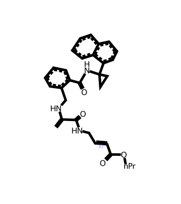 C=C(NCc1ccccc1C(=O)NC1(c2cccc3ccccc23)CC1)C(=O)NC/C=C/C(=O)OCCC